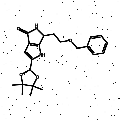 CC1(C)OB(c2cc3c([nH]2)C(CCOCc2ccccc2)NC3=O)OC1(C)C